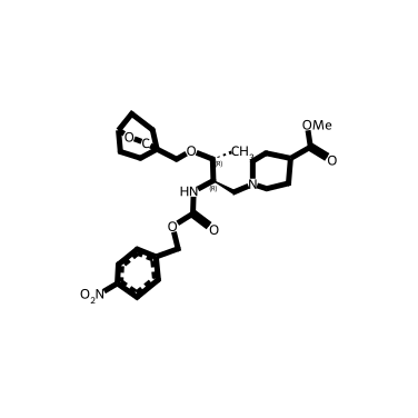 COC(=O)C1CCN(C[C@@H](NC(=O)OCc2ccc([N+](=O)[O-])cc2)[C@@H](C)OCC23CCC(CC2)OC3)CC1